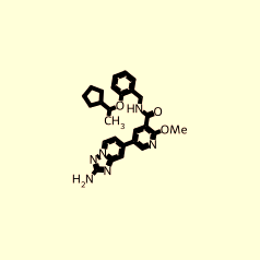 COc1ncc(-c2ccn3nc(N)nc3c2)cc1C(=O)NCc1ccccc1OC(C)C1CCCC1